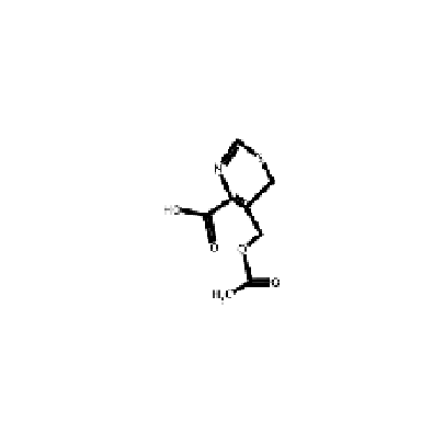 CC(=O)OCC1=C(C(=O)O)N=CSC1